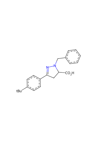 CC(C)(C)c1ccc(C2=NN(Cc3ccccc3)C(C(=O)O)C2)cc1